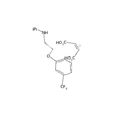 CC(C)NCCOc1cccc(C(F)(F)F)c1.O=C(O)/C=C\C(=O)O